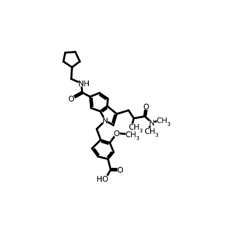 COc1cc(C(=O)O)ccc1Cn1cc(CC(C)C(=O)N(C)C)c2ccc(C(=O)NCC3CCCC3)cc21